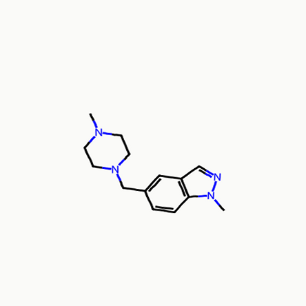 CN1CCN(Cc2ccc3c(cnn3C)c2)CC1